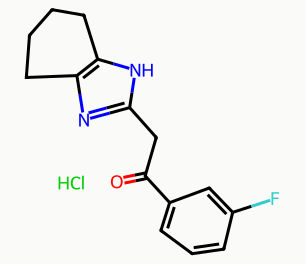 Cl.O=C(Cc1nc2c([nH]1)CCCC2)c1cccc(F)c1